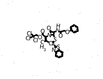 CC(Cl)=C(C(=O)OCC(Cl)(Cl)Cl)N1C(=O)C(NC(=O)COc2ccccc2)C1SSc1nc2ccccc2s1